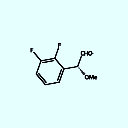 CO[C@@H]([C]=O)c1cccc(F)c1F